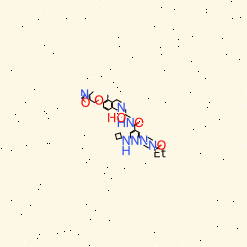 CCC(=O)N1CCN(c2cc(C(=O)NC[C@H](O)CN3CCc4c(ccc(OCc5ocnc5C)c4C)C3)cc(NC3CCC3)n2)CC1